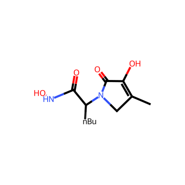 CCCCC(C(=O)NO)N1CC(C)=C(O)C1=O